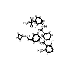 Cc1cccc(F)c1C(=O)N1CCC[C@H](C(=O)Nc2cccc(C(C)(C)C)c2)[C@@H]1c1ccc(CNC2CCC2)cc1